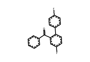 O=C(c1ccccc1)c1cc(F)ccc1-c1ccc(F)cc1